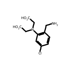 NCc1ccc(Cl)cc1N(CC(=O)O)CC(=O)O